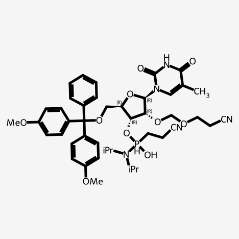 COc1ccc(C(OC[C@H]2O[C@@H](n3cc(C)c(=O)[nH]c3=O)[C@H](OCOCCC#N)[C@@H]2O[PH](O)(CCC#N)N(C(C)C)C(C)C)(c2ccccc2)c2ccc(OC)cc2)cc1